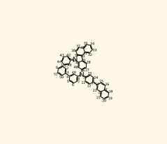 c1ccc(-c2cccc(N(c3ccc(-c4ccc5ccccc5c4)cc3)c3ccc4c5c6ccccc6ccc5n(-c5ccccc5)c4c3)c2)cc1